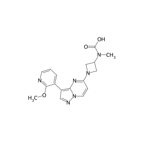 COc1ncccc1-c1cnn2ccc(N3CC(N(C)C(=O)O)C3)nc12